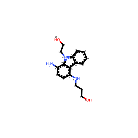 Nc1ccc(NCCCO)c2c3ccccc3n(CCO)c12